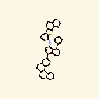 c1ccc(-c2ccccc2N(c2ccc(-c3ccc4c(ccc5ccc6ccccc6c54)c3)cc2)c2cccc3c2sc2c4ccccc4ccc32)cc1